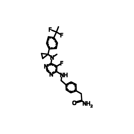 CN(c1ncnc(NCc2ccc(CC(N)=O)cc2)c1F)C1(c2ccc(C(C)(F)F)cc2)CC1